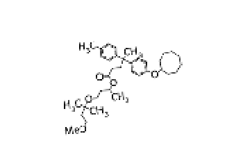 COCCC(C)(C)OCCC(C)OC(=O)CCC(C)(c1ccc(C)cc1)c1ccc(OC2CCCCCCC2)cc1